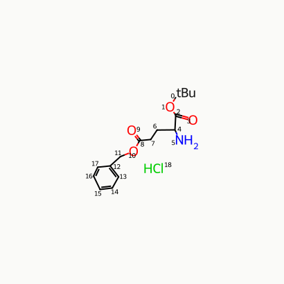 CC(C)(C)OC(=O)C(N)CCC(=O)OCc1ccccc1.Cl